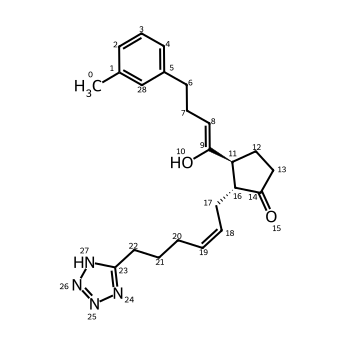 Cc1cccc(CCC=C(O)[C@H]2CCC(=O)[C@@H]2C/C=C\CCCc2nnn[nH]2)c1